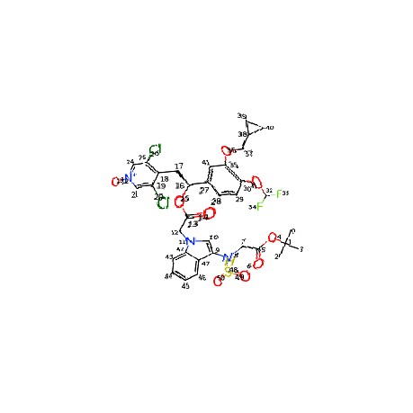 CC(C)(C)OC(=O)CN(c1cn(CC(=O)O[C@@H](Cc2c(Cl)c[n+]([O-])cc2Cl)c2ccc(OC(F)F)c(OCC3CC3)c2)c2ccccc12)[SH](=O)=O